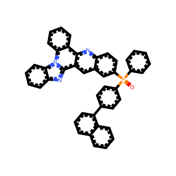 O=P(c1ccccc1)(c1ccc(-c2cccc3ccccc23)cc1)c1ccc2nc3c4ccccc4n4c5ccccc5nc4c3cc2c1